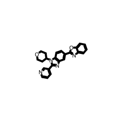 c1cncc(-c2nc3cc(-c4nc5ccccc5o4)ccc3n2C2CCOCC2)c1